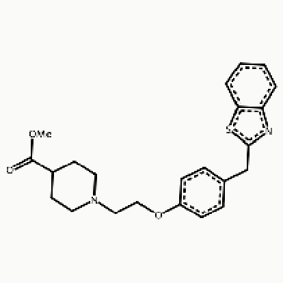 COC(=O)C1CCN(CCOc2ccc(Cc3nc4ccccc4s3)cc2)CC1